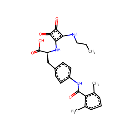 CCCNc1c(N[C@@H](Cc2ccc(NC(=O)c3c(C)cccc3C)cc2)C(=O)O)c(=O)c1=O